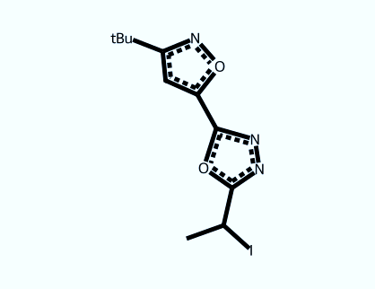 CC(I)c1nnc(-c2cc(C(C)(C)C)no2)o1